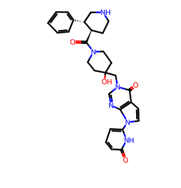 O=C([C@@H]1CCNC[C@H]1c1ccccc1)N1CCC(O)(Cn2cnc3c(ccn3-c3cccc(=O)[nH]3)c2=O)CC1